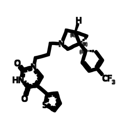 O=c1[nH]c(=O)n(CCCN2C[C@@H]3C[C@]3([C@H]3C=CC(C(F)(F)F)=CC3)C2)cc1-c1cccs1